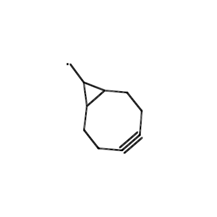 [CH2]C1C2CCC#CCCC12